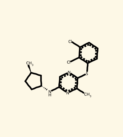 Cc1nc(N[C@@H]2CC[C@@H](C)C2)cnc1Sc1cccc(Cl)c1Cl